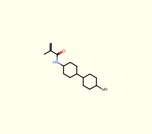 C=C(C)C(=O)NC1CCC(C2CCC(CCC)CC2)CC1